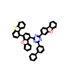 c1ccc(-c2cccc(-c3nc(-c4ccc5c(c4)oc4ccccc45)nc(-c4ccc(-c5cccc6sc7ccccc7c56)c5oc6ccccc6c45)n3)c2)cc1